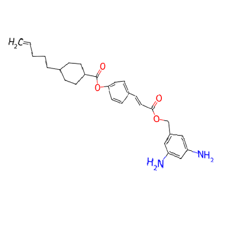 C=CCCCC1CCC(C(=O)Oc2ccc(/C=C/C(=O)OCc3cc(N)cc(N)c3)cc2)CC1